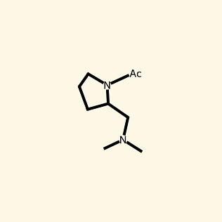 CC(=O)N1CCCC1CN(C)C